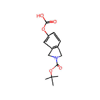 CC(C)(C)OC(=O)N1Cc2ccc(OC(=O)O)cc2C1